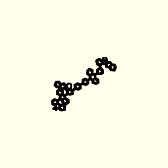 CC1(C)c2ccccc2-c2c(-c3c4ccccc4c(-c4ccc(-c5ccc(-c6ccc(-c7c8ccccc8c(-c8cccc(-c9cccc%10oc%11cc%12ccccc%12cc%11c9%10)c8)c8ccccc78)cc6)cc5)c5oc6cc7ccccc7cc6c45)c4ccccc34)cccc21